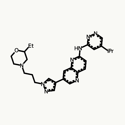 CCC1CN(CCCn2cc(-c3cnc4ccc(Nc5cc(C(C)C)cnn5)nc4c3)cn2)CCO1